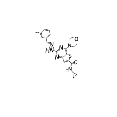 Cc1cccc(/C=N/Nc2nc(N3CCOCC3)c3sc(C(=O)NC4CC4)cc3n2)c1